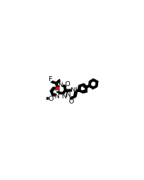 COc1ccnc(-c2nn3c(=O)cc(-c4ccc(C5CCCCC5)cc4)[nH]c3c2C(=O)N2CC(CF)C2)n1